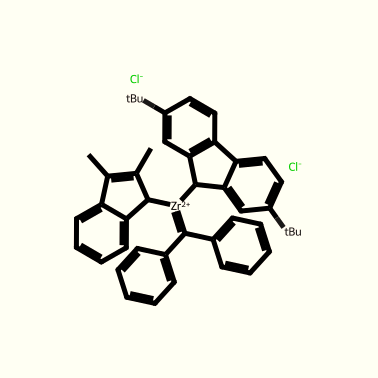 CC1=C(C)[CH]([Zr+2](=[C](c2ccccc2)c2ccccc2)[CH]2c3cc(C(C)(C)C)ccc3-c3ccc(C(C)(C)C)cc32)c2ccccc21.[Cl-].[Cl-]